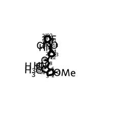 COc1ccc2c(c1)/C(=C/C(=O)c1cccc(NC(=O)c3c(F)cccc3Cl)c1)NC(C)(C)C2